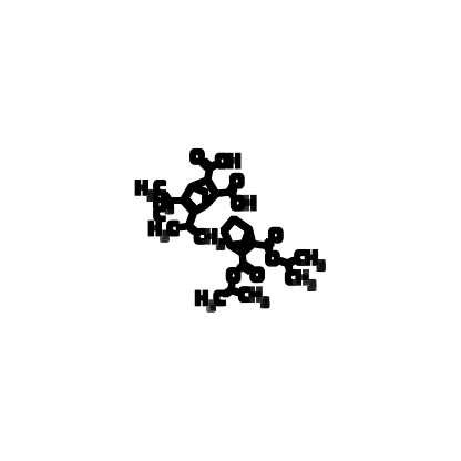 CC(C)C1=C(C(C)C)C2CC1C(C(=O)O)C2C(=O)O.CC(C)OC(=O)C1=C(C(=O)OC(C)C)C2CCC1C2